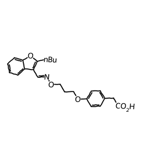 CCCCc1oc2ccccc2c1/C=N/OCCCOc1ccc(CC(=O)O)cc1